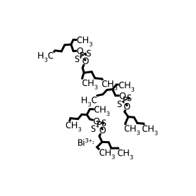 CCCCC(CC)COP(=S)([S-])OCC(CC)CCCC.CCCCC(CC)COP(=S)([S-])OCC(CC)CCCC.CCCCC(CC)COP(=S)([S-])OCC(CC)CCCC.[Bi+3]